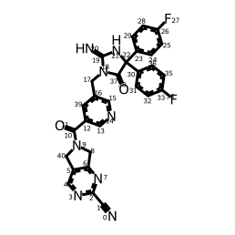 N#Cc1ncc2c(n1)CN(C(=O)c1cncc(CN3C(=N)NC(c4ccc(F)cc4)(c4ccc(F)cc4)C3=O)c1)C2